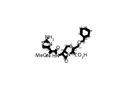 CON=C(C(=O)NC1C(=O)N2C(C(=O)O)=C(COCc3ccccc3)SCC12)c1csc(N)n1